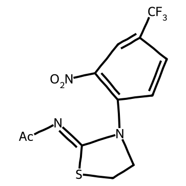 CC(=O)N=C1SCCN1c1ccc(C(F)(F)F)cc1[N+](=O)[O-]